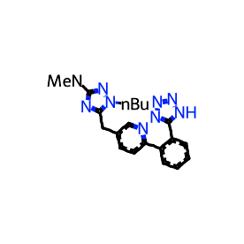 CCCCn1nc(NC)nc1Cc1ccc(-c2ccccc2-c2nnn[nH]2)nc1